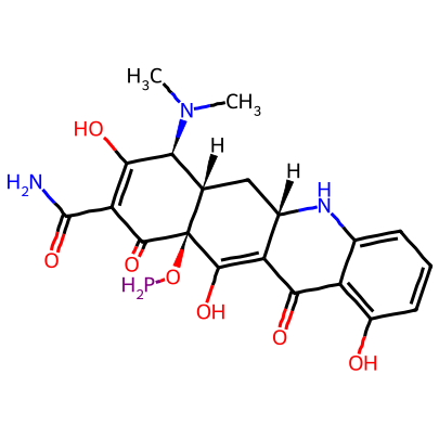 CN(C)[C@@H]1C(O)=C(C(N)=O)C(=O)[C@@]2(OP)C(O)=C3C(=O)c4c(O)cccc4N[C@H]3C[C@@H]12